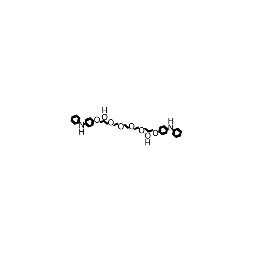 OC(COCCOCCOCCOCC(O)COc1ccc(Nc2ccccc2)cc1)COc1ccc(Nc2ccccc2)cc1